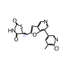 Cc1cc(-c2cncc3cc(/C=C4\SC(=O)NC4=O)oc23)cnc1Cl